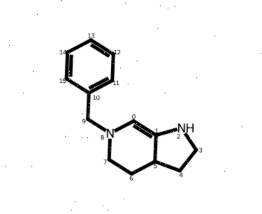 C1=C2NCCC2CCN1Cc1ccccc1